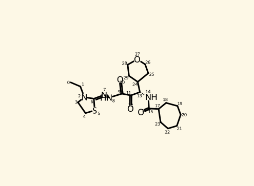 CCN1CCS/C1=N\NC(=O)C(=O)[C@@H](NC(=O)C1CCCCCC1)C1CCOCC1